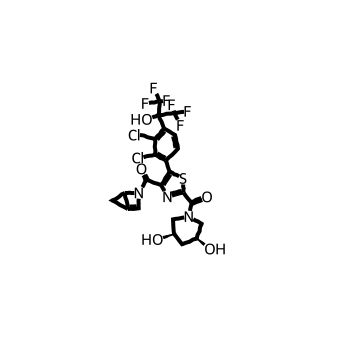 O=C(c1nc(C(=O)N2C=C3CC32)c(-c2ccc(C(O)(C(F)(F)F)C(F)(F)F)c(Cl)c2Cl)s1)N1C[C@H](O)C[C@H](O)C1